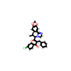 CC(C)C(c1oc2cc(Cl)ccc2c(=O)c1Cc1ccccc1)N1CCN=C1c1ccc2c(c1)OCO2